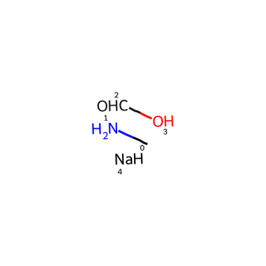 CN.O=CO.[NaH]